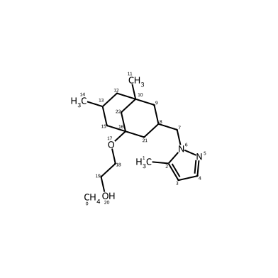 C.Cc1ccnn1CC1CC2(C)CC(C)CC(OCCO)(C1)C2